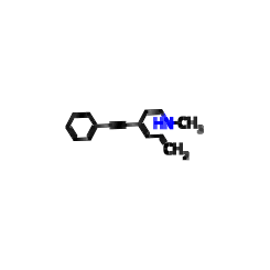 C=C/C=C(C#Cc1ccccc1)\C=C/NC